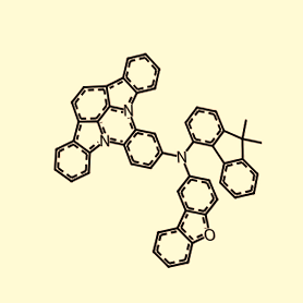 CC1(C)c2ccccc2-c2c(N(c3ccc4oc5ccccc5c4c3)c3ccc4c(c3)n3c5ccccc5c5ccc6c7ccccc7n4c6c53)cccc21